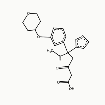 CNC(CC(=O)CC(=O)O)(c1ccsc1)c1cccc(OC2CCOCC2)c1